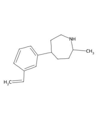 C=Cc1cccc(C2CCNC(C)CC2)c1